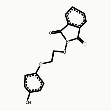 N#Cc1ccc(OCCON2C(=O)c3ccccc3C2=O)cc1